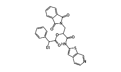 CCC(C(=O)OC(CN1C(=O)c2ccccc2C1=O)C(=O)Nc1cc2ccncc2s1)c1ccccc1